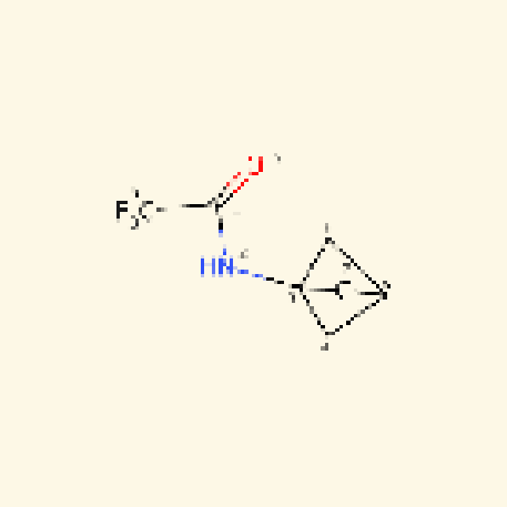 O=C(NC12CC(C1)C2)C(F)(F)F